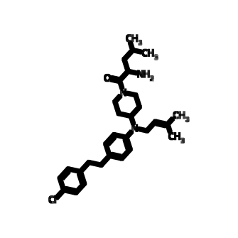 CC(C)=CCN(c1ccc(CCc2ccc(Cl)cc2)cc1)C1CCN(C(=O)C(N)CC(C)C)CC1